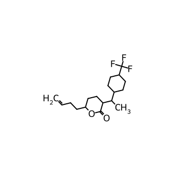 C=CCCC1CCC(C(C)C2CCC(C(F)(F)F)CC2)C(=O)O1